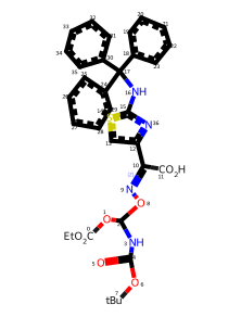 CCOC(=O)OC(NC(=O)OC(C)(C)C)O/N=C(\C(=O)O)c1csc(NC(c2ccccc2)(c2ccccc2)c2ccccc2)n1